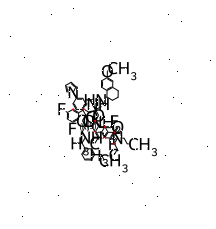 CCCN(CCC)C(=O)c1cc(C)cc(C(=O)OC(CCc2cc(F)cc(F)c2)(CNC2CCCc3cc(OC)ccc32)Nc2cc(-n3cccc3)ccc2C(=O)O[C@H](CNCc2cccc(CC)c2)[C@@H](N)Cc2cc(F)cc(F)c2)c1